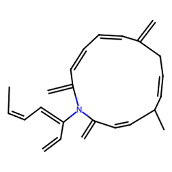 C=C/C(=C\C=C/C)N1C(=C)/C=C\C=C/C(=C)C/C=C\C(C)/C=C\C1=C